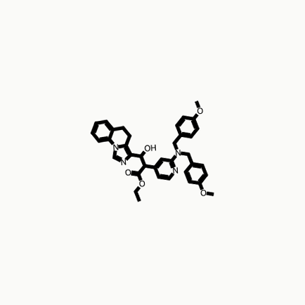 CCOC(=O)C(c1ccnc(N(Cc2ccc(OC)cc2)Cc2ccc(OC)cc2)c1)C(O)c1ncn2c1CCc1ccccc1-2